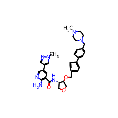 CN1CCN(Cc2ccc(-c3ccc(COC4COC[C@@H]4NC(=O)c4cc(-c5cnn(C)c5)cnc4N)cc3)cc2)CC1